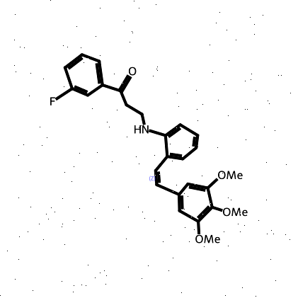 COc1cc(/C=C\c2ccccc2NCCC(=O)c2cccc(F)c2)cc(OC)c1OC